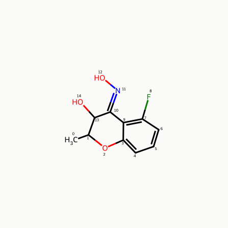 CC1Oc2cccc(F)c2C(=NO)C1O